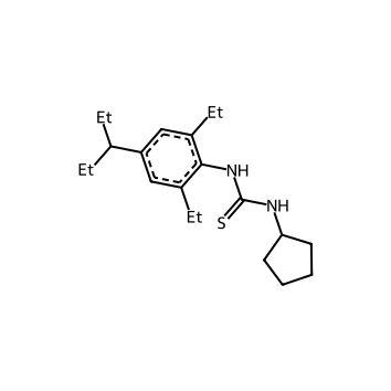 CCc1cc(C(CC)CC)cc(CC)c1NC(=S)NC1CCCC1